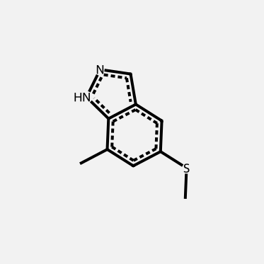 CSc1cc(C)c2[nH]ncc2c1